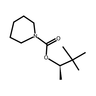 C[C@@H](OC(=O)N1CCCCC1)C(C)(C)C